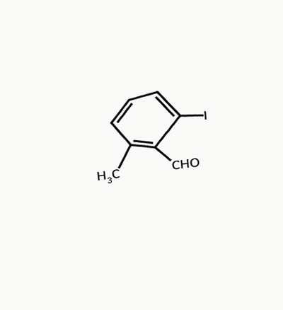 Cc1cccc(I)c1C=O